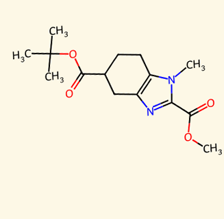 COC(=O)c1nc2c(n1C)CCC(C(=O)OC(C)(C)C)C2